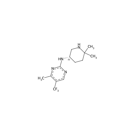 Cc1nc(N[C@H]2CCC(C)(C)NC2)ncc1C(F)(F)F